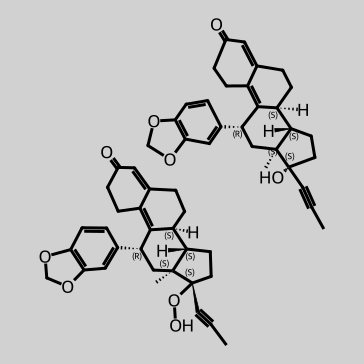 CC#C[C@]1(O)CC[C@H]2[C@@H]3CCC4=CC(=O)CCC4=C3[C@@H](c3ccc4c(c3)OCO4)C[C@@]21C.CC#C[C@]1(OO)CC[C@H]2[C@@H]3CCC4=CC(=O)CCC4=C3[C@@H](c3ccc4c(c3)OCO4)C[C@@]21C